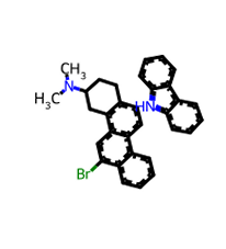 CN(C)C1CCc2ccc3c(cc(Br)c4ccccc43)c2C1.c1ccc2c(c1)[nH]c1ccccc12